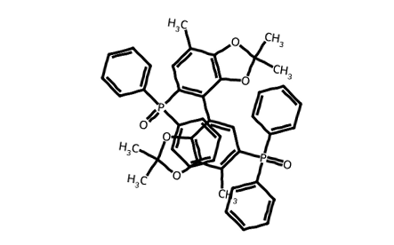 Cc1cc(P(=O)(c2ccccc2)c2ccccc2)c(-c2cc(P(=O)(c3ccccc3)c3ccccc3)c(C)c3c2OC(C)(C)O3)c2c1OC(C)(C)O2